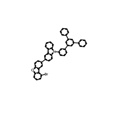 Brc1cccc2oc3ccc(-c4ccc5c(c4)c4ccccc4n5-c4cccc(-c5cc(-c6ccccc6)cc(-c6ccccc6)c5)c4)cc3c12